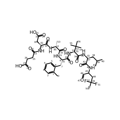 Cc1ccccc1C[C@H](NC(=O)[C@@H](C)NC(=O)[C@H](CC(=O)O)NC(=O)CCC(=O)O)C(=O)N[C@H](C(=O)N[C@@H](CC(C)C)C(=O)NC(C=O)CC(F)(F)F)C(C)(C)C